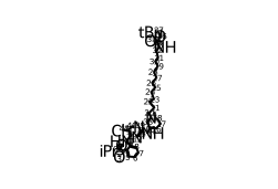 CC(C)S(=O)(=O)c1ccccc1Nc1nc(N[C@@H]2CCCN(CCCCCCCCCCCCCNC(=O)OC(C)(C)C)C2)ncc1Cl